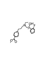 CCN(CCCc1ccc(C(=O)OC)cc1)C[C@@H](O)c1ccccc1F